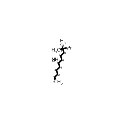 C=CCCCCCCCC(C)(C)C(C)C.N